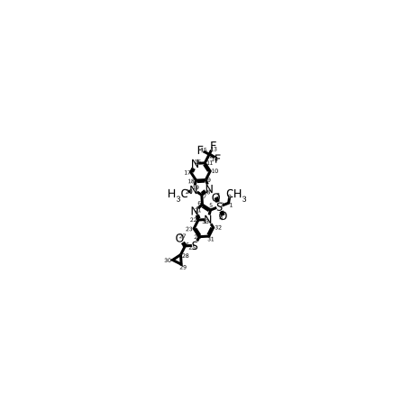 CCS(=O)(=O)c1c(-c2nc3cc(C(F)(F)F)ncc3n2C)nc2cc(SC(=O)C3CC3)ccn12